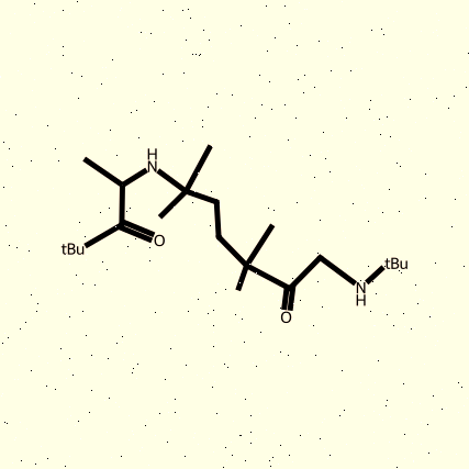 CC(NC(C)(C)CCC(C)(C)C(=O)CNC(C)(C)C)C(=O)C(C)(C)C